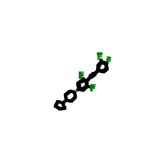 Fc1ccc(C#Cc2c(F)cc([C@H]3CC[C@H](C4CCCC4)CC3)cc2F)cc1F